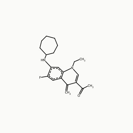 C=C1C(C(C)=O)=CN(CC)c2cc(NC3CCCCCC3)c(F)cc21